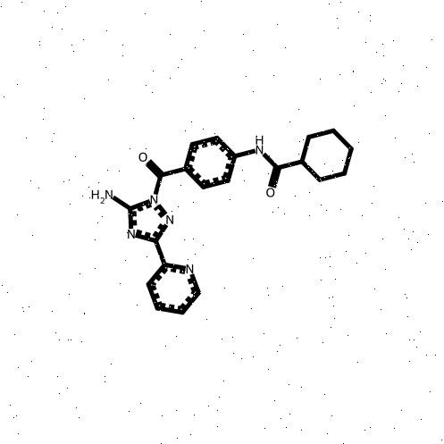 Nc1nc(-c2ccccn2)nn1C(=O)c1ccc(NC(=O)C2CCCCC2)cc1